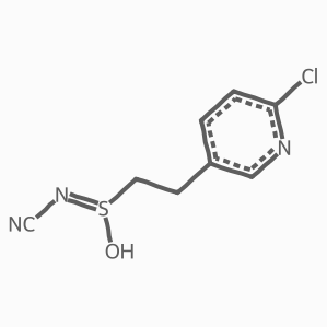 N#CN=S(O)CCc1ccc(Cl)nc1